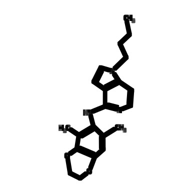 CCCCn1ccc2c(Nc3c(C)cc4c(c3C)OCCO4)nccc21